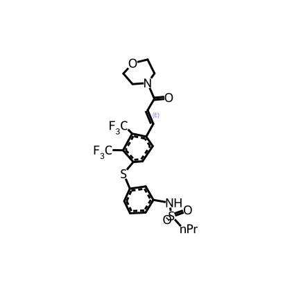 CCCS(=O)(=O)Nc1cccc(Sc2ccc(/C=C/C(=O)N3CCOCC3)c(C(F)(F)F)c2C(F)(F)F)c1